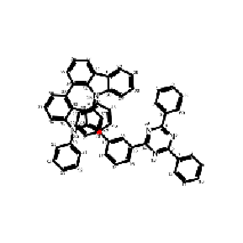 c1ccc(-c2nc(-c3ccccc3)nc(-c3cccc(-c4cccc(-n5c6ccccc6c6cccc(-c7cccc8c7c7ccccc7n8-c7ccccc7)c65)c4)c3)n2)cc1